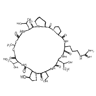 CC1CC(=O)NC(C(C)O)C(=O)N2CCCC2C(=O)N2CCCC2C(=O)NC(CCCNC(=N)N)C(=O)NC(C(O)C(=O)O)C(=O)NC(CO)C(=O)N2CCC(O)C2C(=O)NC(C(O)C(=O)O)C(=O)O1